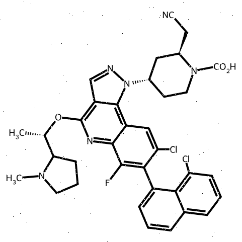 C[C@H](Oc1nc2c(F)c(-c3cccc4cccc(Cl)c34)c(Cl)cc2c2c1cnn2[C@H]1CCN(C(=O)O)[C@H](CC#N)C1)C1CCCN1C